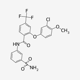 COc1ccc(Oc2cc(C(F)(F)F)ccc2C(=O)Nc2cccc(S(N)(=O)=O)c2)cc1Cl